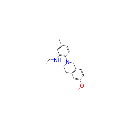 CCNc1cc(C)ccc1N1CCc2cc(OC)ccc2C1